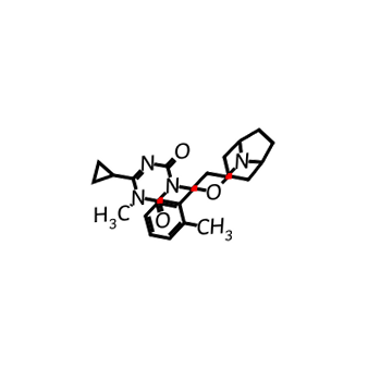 Cc1ccccc1COC1CC2CCC(C1)N2CCCn1c(=O)nc(C2CC2)n(C)c1=O